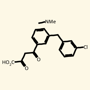 CNC.O=C(O)C(=O)CC(=O)c1cccc(Cc2cccc(Cl)c2)c1